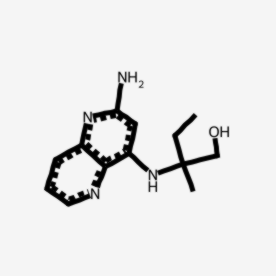 CCC(C)(CO)Nc1cc(N)nc2cccnc12